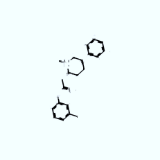 Cc1cccc(OC(=O)C[C@H]2CC[C@@H](c3ccccc3)CN2C)c1